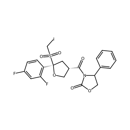 O=C1OCC(c2ccccc2)N1C(=O)[C@@H]1CO[C@@](c2ccc(F)cc2F)(S(=O)(=O)CI)C1